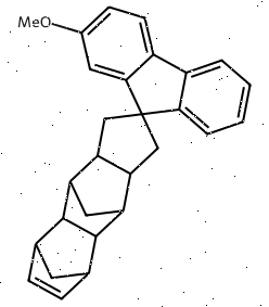 COc1ccc2c(c1)C1(CC3C(C1)C1CC3C3C4C=CC(C4)C13)c1ccccc1-2